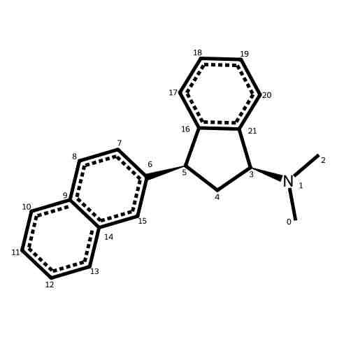 CN(C)[C@H]1C[C@@H](c2ccc3ccccc3c2)c2ccccc21